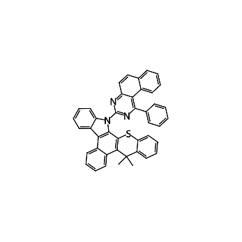 CC1(C)c2ccccc2Sc2c1c1ccccc1c1c3ccccc3n(-c3nc(-c4ccccc4)c4c(ccc5ccccc54)n3)c21